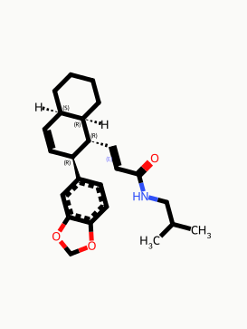 CC(C)CNC(=O)/C=C/[C@H]1[C@@H]2CCCC[C@@H]2C=C[C@@H]1c1ccc2c(c1)OCO2